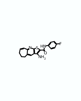 Nc1c(C(=O)Nc2ccc(F)cc2)sc2nc3c(cc12)CCCC=C3